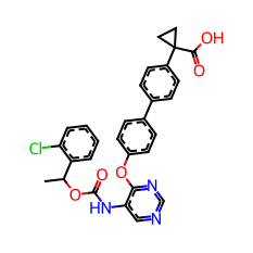 CC(OC(=O)Nc1cncnc1Oc1ccc(-c2ccc(C3(C(=O)O)CC3)cc2)cc1)c1ccccc1Cl